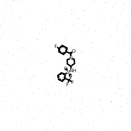 O=C(c1ccc(F)cc1)N1CCC(NS(=O)(=O)c2ccccc2C(F)(F)F)CC1